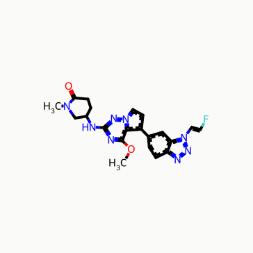 COc1nc(NC2CCC(=O)N(C)C2)nn2ccc(-c3ccc4nnn(/C=C/F)c4c3)c12